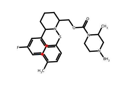 BN1CCN(C(=O)OCC2CCCC(c3cccc(F)c3)N2Sc2ccc(C)cc2)C(C)C1